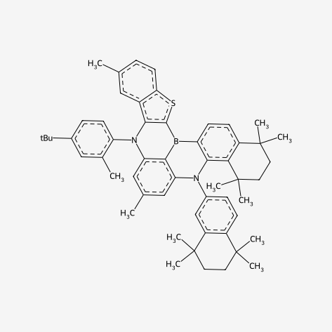 Cc1cc2c3c(c1)N(c1ccc(C(C)(C)C)cc1C)c1c(sc4ccc(C)cc14)B3c1ccc3c(c1N2c1ccc2c(c1)C(C)(C)CCC2(C)C)C(C)(C)CCC3(C)C